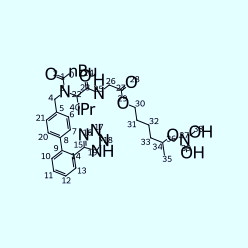 CCCCC(=O)N(Cc1ccc(-c2ccccc2-c2nnn[nH]2)cc1)C(C(=O)NCC(=O)OCCCCC(C)ON(O)O)C(C)C